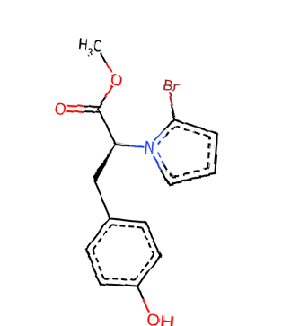 COC(=O)[C@H](Cc1ccc(O)cc1)n1cccc1Br